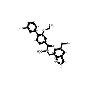 CCOc1cc(C(=O)N(C)Cc2cc(CF)cc3cn[nH]c23)ccc1-c1cccc(F)c1